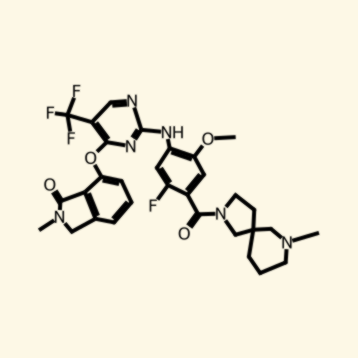 COc1cc(C(=O)N2CCC3(CCCN(C)C3)C2)c(F)cc1Nc1ncc(C(F)(F)F)c(Oc2cccc3c2C(=O)N(C)C3)n1